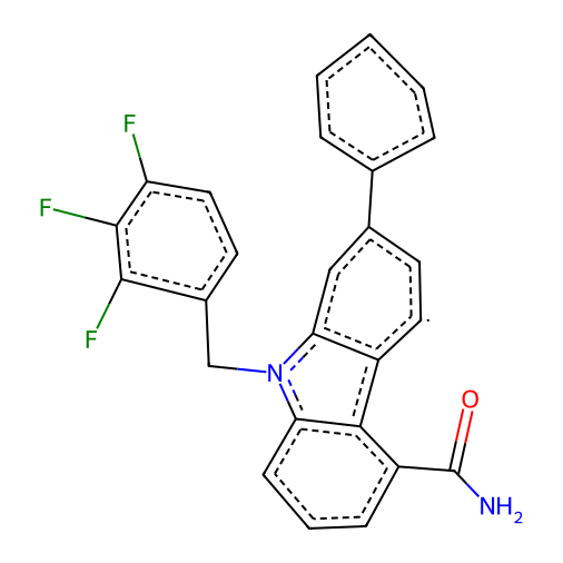 NC(=O)c1cccc2c1c1[c]cc(-c3ccccc3)cc1n2Cc1ccc(F)c(F)c1F